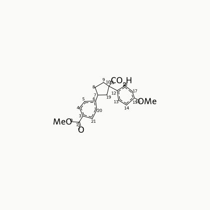 COC(=O)c1ccc(C2CCC(C(=O)O)(c3ccc(OC)cc3)C2)cc1